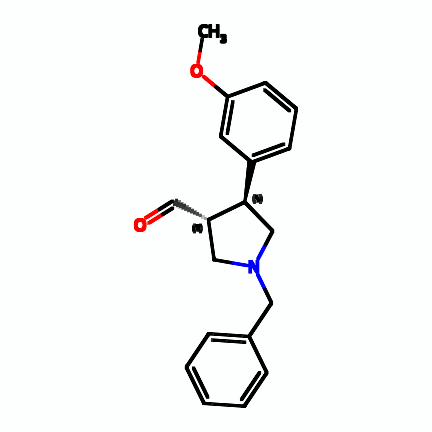 COc1cccc([C@H]2CN(Cc3ccccc3)C[C@@H]2C=O)c1